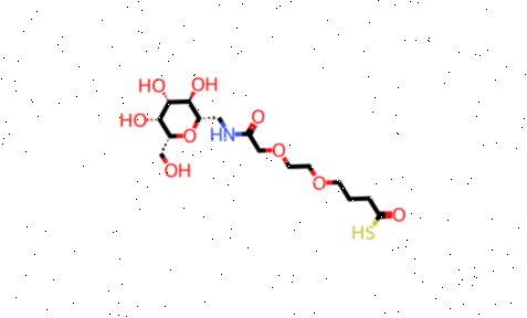 O=C(S)CCCOCCOCC(=O)NC[C@@H]1O[C@H](CO)[C@H](O)[C@H](O)[C@H]1O